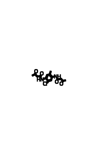 CC(=O)CC(=O)Nc1cc(Cl)c(NC(=O)CC(C)=O)cc1C